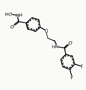 O=C(NO)c1ccc(OCCNC(=O)c2ccc(F)c(F)c2)cc1